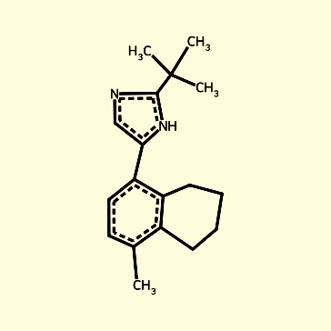 Cc1ccc(-c2cnc(C(C)(C)C)[nH]2)c2c1CCCC2